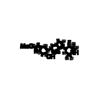 COc1nc2cc(O)c(-c3cc4ccn([C@H]5CC(C)(C)NC(C)(C)[C@H]5F)c4nn3)cc2s1